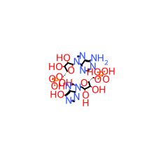 Nc1ncnc2c1ncn2[C@@H]1O[C@H](COP(=O)(O)O)[C@@H](O)[C@H]1O.O=P(O)(O)OC[C@H]1O[C@@H](n2cnc3c(O)ncnc32)[C@H](O)[C@@H]1O